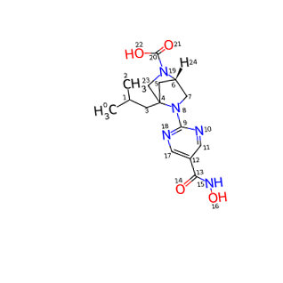 CC(C)CC12C[C@@H](CN1c1ncc(C(=O)NO)cn1)N(C(=O)O)C2